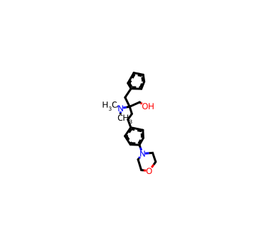 CN(C)C(CO)(CCc1ccc(N2CCOCC2)cc1)Cc1ccccc1